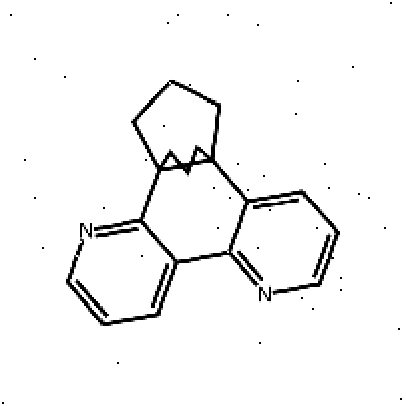 c1cnc2c(c1)-c1ncccc1C13CCCC21CCC3